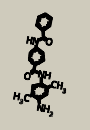 Cc1cc(NC(=O)c2ccc(NC(=O)c3ccccc3)cc2)c(C)cc1N